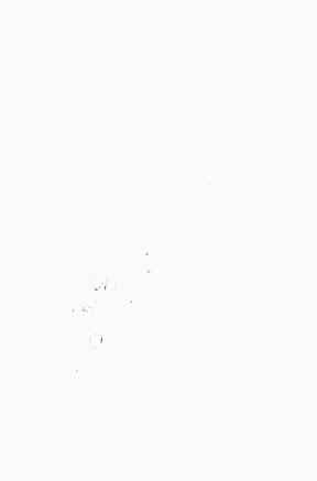 C=CCOCC(=CCCCCCCCCCCCCCC)C(=O)O